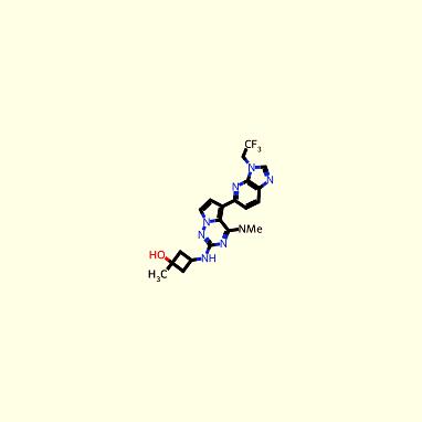 CNc1nc(NC2CC(C)(O)C2)nn2ccc(-c3ccc4ncn(CC(F)(F)F)c4n3)c12